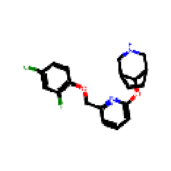 Fc1cc(Cl)ccc1OCc1cccc(OC2C3CCC2CNC3)n1